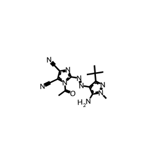 CC(=O)n1c(/N=N/c2c(C(C)(C)C)nn(C)c2N)nc(C#N)c1C#N